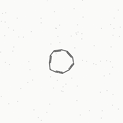 [C]1=CC=CCC=CC=CC=C1